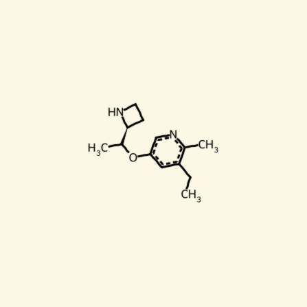 CCc1cc(OC(C)[C@@H]2CCN2)cnc1C